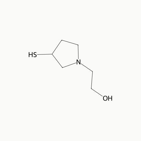 OCCN1CCC(S)C1